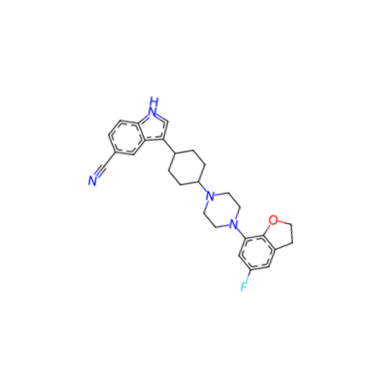 N#Cc1ccc2[nH]cc(C3CCC(N4CCN(c5cc(F)cc6c5OCC6)CC4)CC3)c2c1